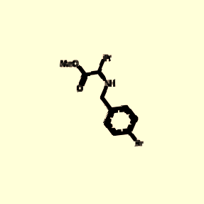 COC(=O)C(NCc1ccc(Br)cc1)C(C)C